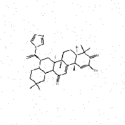 CC1(C)CCC2C(C1)C1C(=O)C=C3[C@@]4(C)C=C(C#N)C(=O)C(C)(C)[C@@H]4CC[C@@]3(C)[C@]1(C)C[C@@H]2C(=O)n1ccnc1